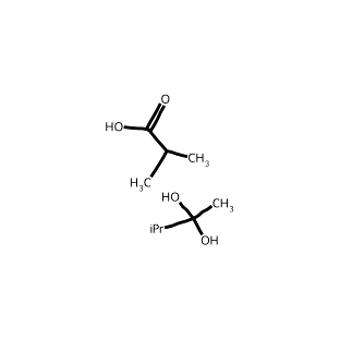 CC(C)C(=O)O.CC(C)C(C)(O)O